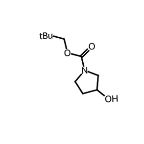 CC(C)(C)COC(=O)N1CCC(O)C1